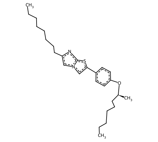 CCCCCCCCc1cn2cc(-c3ccc(O[C@@H](C)CCCCCC)cc3)sc2n1